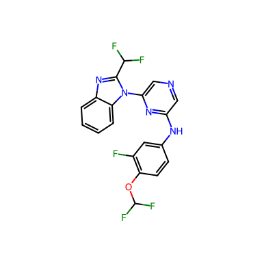 Fc1cc(Nc2cncc(-n3c(C(F)F)nc4ccccc43)n2)ccc1OC(F)F